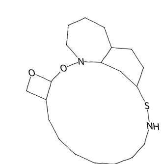 C1CCCNSC2CCC3CCCCN(OC4OCC4CCC1)C3C2